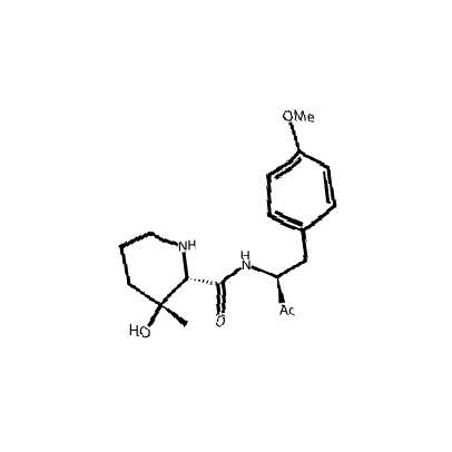 COc1ccc(C[C@H](NC(=O)[C@H]2NCCC[C@@]2(C)O)C(C)=O)cc1